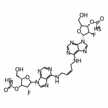 O=[PH](S)OC1[C@@H](F)C(n2cnc3c(NC/C=C\CNc4ncnc5c4ncn5[C@@H]4OC(CO)[C@@H](O[PH](=O)S)[C@H]4F)ncnc32)O[C@@H]1CO